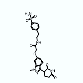 Cn1nc(C2CCC(=O)NC2=O)c2ccc(OCC(=O)NCCc3ccc(S(N)(=O)=O)cc3)cc21